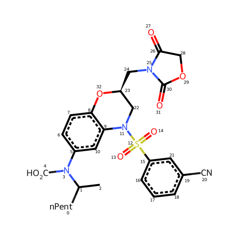 CCCCCC(C)N(C(=O)O)c1ccc2c(c1)N(S(=O)(=O)c1cccc(C#N)c1)C[C@H](CN1C(=O)COC1=O)O2